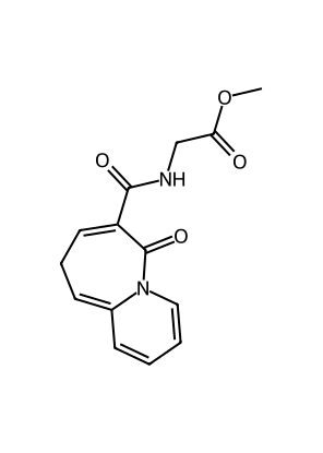 COC(=O)CNC(=O)C1=CCC=C2C=CC=CN2C1=O